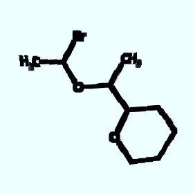 CC(Br)OC(C)C1CCCCO1